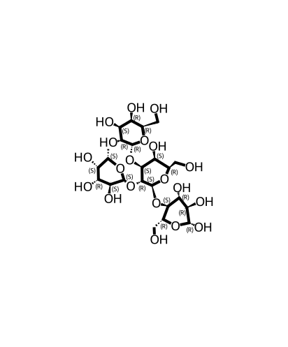 C[C@@H]1O[C@@H](O[C@H]2[C@H](O[C@H]3[C@H](O)[C@@H](O)[C@H](O)O[C@@H]3CO)O[C@H](CO)[C@H](O)[C@@H]2O[C@H]2O[C@H](CO)[C@H](O)[C@H](O)[C@H]2O)[C@@H](O)[C@H](O)[C@@H]1O